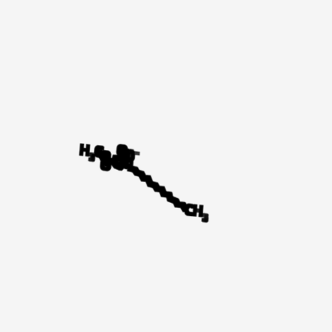 CCCCCCCCCCCCCCCCCCOc1ccc(C(=O)OCC)cc1[N+](=O)[O-]